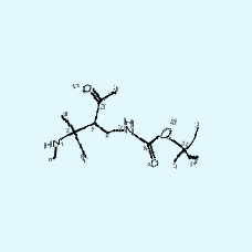 CNC(C)(C)C(CNC(=O)OC(C)(C)C)C(C)=O